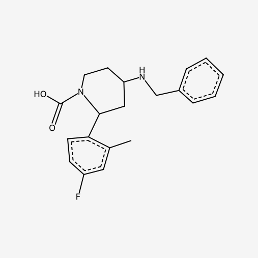 Cc1cc(F)ccc1C1CC(NCc2ccccc2)CCN1C(=O)O